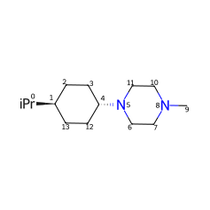 CC(C)[C@H]1CC[C@H](N2CCN(C)CC2)CC1